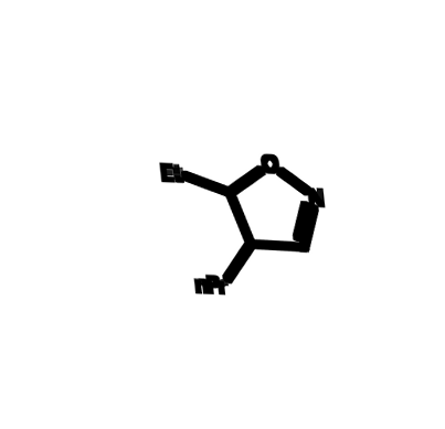 CCCC1C=NOC1CC